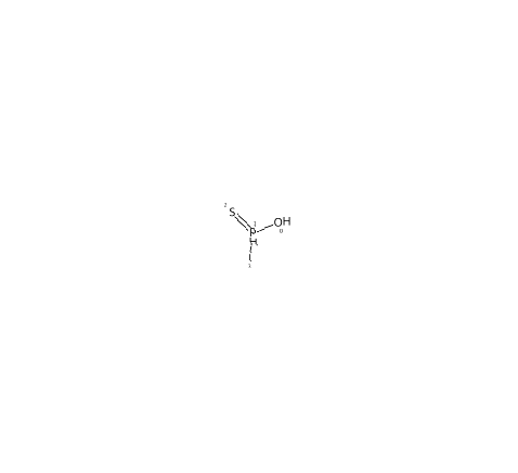 O[PH](=S)I